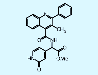 COC(=O)C(NC(=O)c1c(C)c(-c2ccccc2)nc2ccccc12)c1cc[nH]c(=O)c1